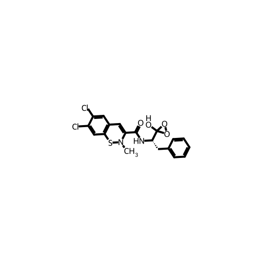 CN1Sc2cc(Cl)c(Cl)cc2C=C1C(=O)N[C@@H](Cc1ccccc1)C1(O)OO1